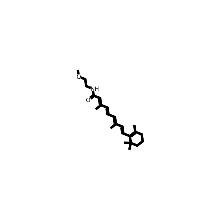 COCCNC(=O)/C=C(C)/C=C/C=C(C)/C=C/C1=C(C)CCCC1(C)C